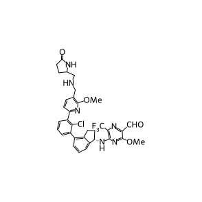 COc1nc(-c2cccc(-c3cccc4c3CC[C@@H]4Nc3nc(OC)c(C=O)nc3C(F)(F)F)c2Cl)ccc1CNCC1CCC(=O)N1